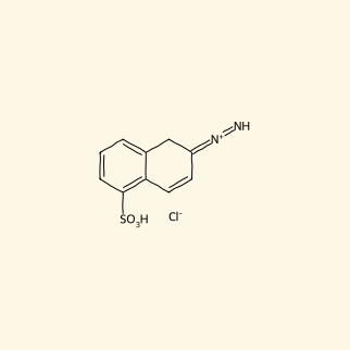 N=[N+]=C1C=Cc2c(cccc2S(=O)(=O)O)C1.[Cl-]